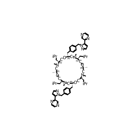 CC(C)C[C@H]1CO[C@H](C)CN(C)[C@@H](CC(C)C)CO[C@H](Cc2ccc(Cn3nccc3-c3cnccn3)cc2)CN(C)[C@@H](CC(C)C)CO[C@H](C)CN(C)[C@@H](CC(C)C)CO[C@H](Cc2ccc(Cn3nccc3-c3cnccn3)cc2)CN1C